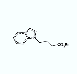 CCOC(=O)CCCn1ccc2ccccc21